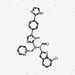 Cn1c(-c2ccc(-c3ncc[nH]3)cc2)cnc1[C@H](Cc1ccccn1)N(C=O)c1cc2cccc(Cl)c2o1